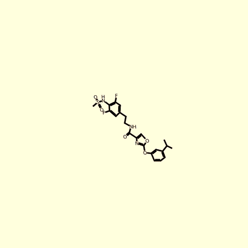 CC(C)c1cccc(Oc2nc(C(=O)NCCc3cc(F)c(NS(C)(=O)=O)c(F)c3)co2)c1